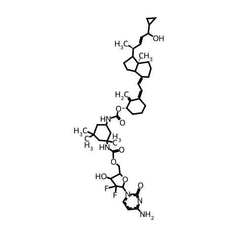 C=C1/C(=C\C=C2/CCC[C@@]3(C)C2CCC3[C@@H](C)/C=C/C(O)C2CC2)CCC[C@@H]1OC(=O)NC1CC(C)(C)CC(C)(NC(=O)OCC2OC(n3ccc(N)nc3=O)C(F)(F)C2O)C1